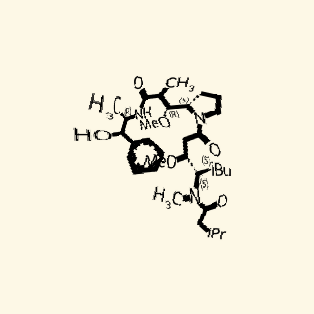 CC[C@H](C)[C@@H](C(CC(=O)N1CCC[C@H]1[C@H](OC)C(C)C(=O)N[C@H](C)C(O)c1ccccc1)OC)N(C)C(=O)CC(C)C